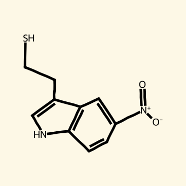 O=[N+]([O-])c1ccc2[nH]cc(CCS)c2c1